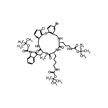 CN1C(=O)[C@H](CCCCNC(=O)OC(C)(C)C)NC(=O)[C@H](CCCNC(=O)OC(C)(C)C)NCc2cc(Br)ccc2Sc2c(Cl)cccc2CNC(=O)[C@@H]1Cc1cn(C(=O)OC(C)(C)C)c2ccccc12